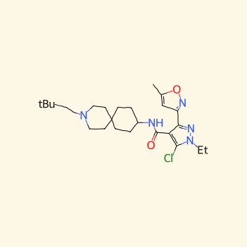 CCn1nc(-c2cc(C)on2)c(C(=O)NC2CCC3(CC2)CCN(CCC(C)(C)C)CC3)c1Cl